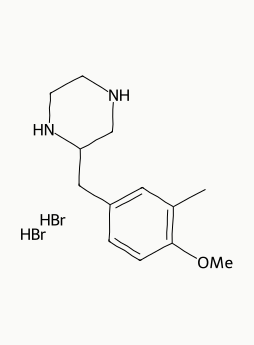 Br.Br.COc1ccc(CC2CNCCN2)cc1C